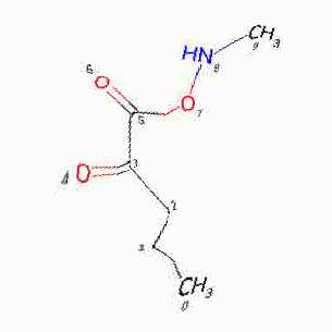 CCCC(=O)C(=O)ONC